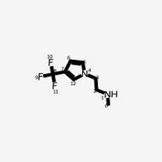 CNCCn1ccc(C(F)(F)F)c1